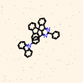 c1ccc(-c2nc(-c3ccc(-n4c5ccccc5c5ccccc54)cc3)c3c(n2)-c2ccccc2C32c3ccccc3-c3ccccc32)cc1